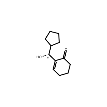 O=C1CCCC=C1[C@H](O)C1CCCC1